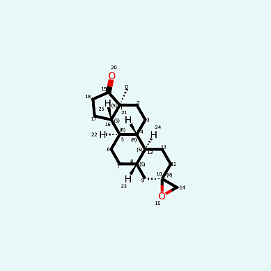 C[C@]12CC[C@H]3[C@@H](CC[C@H]4C[C@]5(CC[C@@H]43)CO5)[C@@H]1CCC2=O